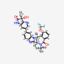 [2H]C([2H])([2H])N1C(=O)c2cccc(OC(F)F)c2[C@H]2C[C@@H]1c1nc3ccc(-c4cnc5c(c4)NC(=O)[C@]5(C)O)cc3n12